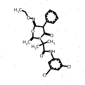 C=C1OC(=NOCC)C(c2ccccc2)C(=O)N1C(C)(C)C(=O)Nc1cc(Cl)cc(Cl)c1